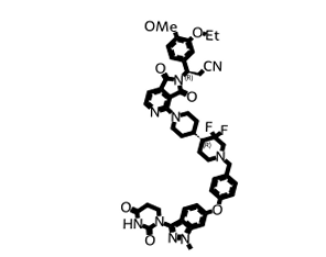 CCOc1cc([C@@H](CC#N)N2C(=O)c3ccnc(N4CCC([C@H]5CCN(Cc6ccc(Oc7ccc8c(N9CCC(=O)NC9=O)nn(C)c8c7)cc6)CC5(F)F)CC4)c3C2=O)ccc1OC